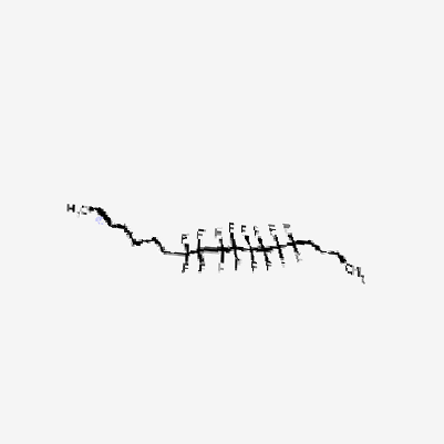 C=CCCC(F)(F)C(F)(F)C(F)(F)C(F)(F)C(F)(F)C(F)(F)C(F)(F)C(F)(F)CCCC/C=C/C